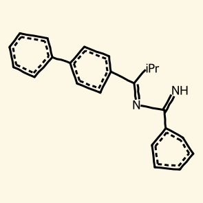 CC(C)/C(=N\C(=N)c1ccccc1)c1ccc(-c2ccccc2)cc1